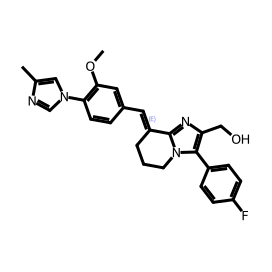 COc1cc(/C=C2\CCCn3c2nc(CO)c3-c2ccc(F)cc2)ccc1-n1cnc(C)c1